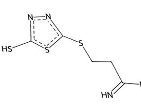 N=C(N)CCSc1nnc(S)s1